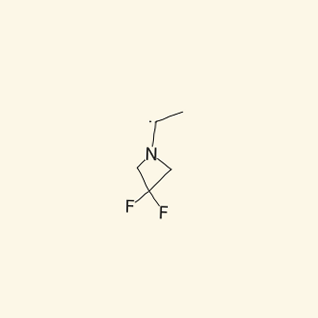 C[CH]N1CC(F)(F)C1